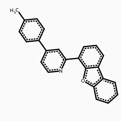 Cc1ccc(-c2ccnc(-c3cccc4c3oc3ccccc34)c2)cc1